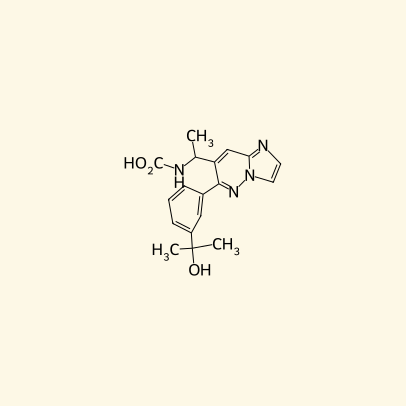 CC(NC(=O)O)c1cc2nccn2nc1-c1cccc(C(C)(C)O)c1